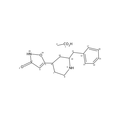 CC(=O)O.O=c1cc(C2CCNC(Cc3ccccc3)C2)o[nH]1